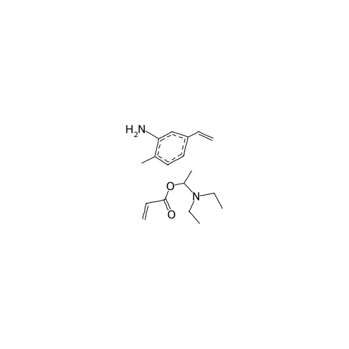 C=CC(=O)OC(C)N(CC)CC.C=Cc1ccc(C)c(N)c1